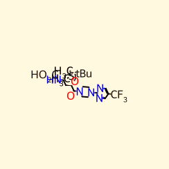 CC(C)(C)[Si](C)(C)O[C@H](CCNC(=O)O)C(=O)N1CCN(c2ncc(C(F)(F)F)cn2)CC1